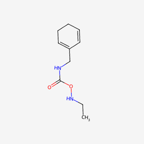 CCNOC(=O)NCC1=CCCC=C1